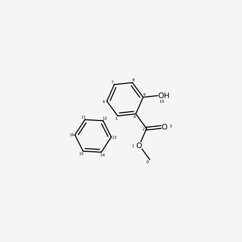 COC(=O)c1ccccc1O.c1ccccc1